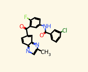 Cc1cnc2ccc(C(=O)c3cc(NC(=O)c4cccc(Cl)c4)ccc3F)cc2n1